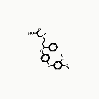 COc1ccc(Oc2ccc(OC(CCN(C)CC(=O)O)c3ccccc3)cc2)cc1OC